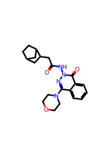 O=C(CC1CC2CCC1C2)Nn1nc(N2CCOCC2)c2ccccc2c1=O